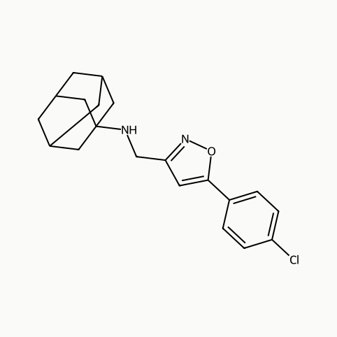 Clc1ccc(-c2cc(CNC34CC5CC(CC(C5)C3)C4)no2)cc1